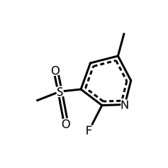 Cc1cnc(F)c(S(C)(=O)=O)c1